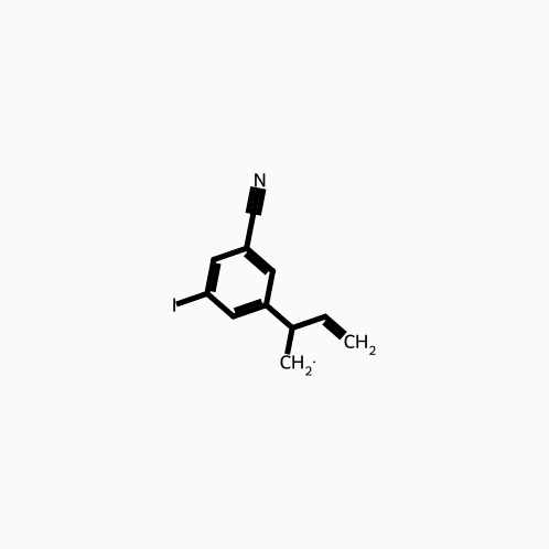 [CH2]C(C=C)c1cc(I)cc(C#N)c1